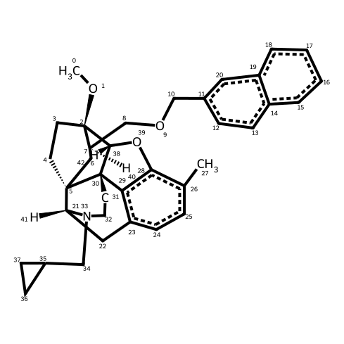 CO[C@]12CC[C@@]3(C[C@@H]1COCc1ccc4ccccc4c1)[C@H]1Cc4ccc(C)c5c4[C@@]3(CCN1CC1CC1)[C@H]2O5